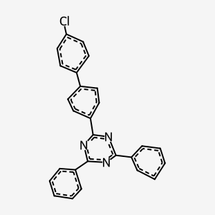 Clc1ccc(-c2ccc(-c3nc(-c4ccccc4)nc(-c4ccccc4)n3)cc2)cc1